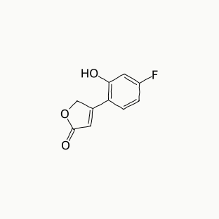 O=C1C=C(c2ccc(F)cc2O)CO1